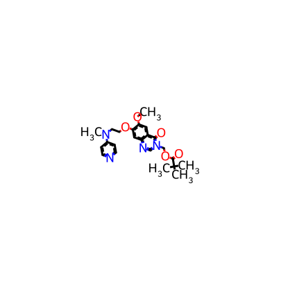 COc1cc2c(=O)n(COC(=O)C(C)(C)C)cnc2cc1OCCN(C)c1ccncc1